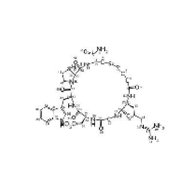 NC(=O)[C@@H]1CSSCCC(=O)N[C@@H](CCCN=C(N)N)C(=O)NCC(=O)N[C@@H](CC(=O)O)C(=O)N[C@@H](Cc2c[nH]c3ccccc23)C(=O)N2CCC[C@H]2C(=O)N1